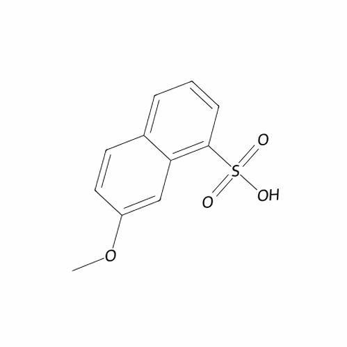 COc1ccc2cccc(S(=O)(=O)O)c2c1